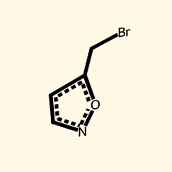 BrCc1ccno1